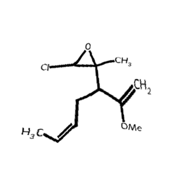 C=C(OC)C(C/C=C\C)C1(C)OC1Cl